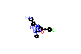 O=c1c(C#Cc2ccc(Cl)cc2)cc2cnc(Nc3ccc(C4CCNCC4)cc3)nc2n1Cc1cncn1C1CCCC1